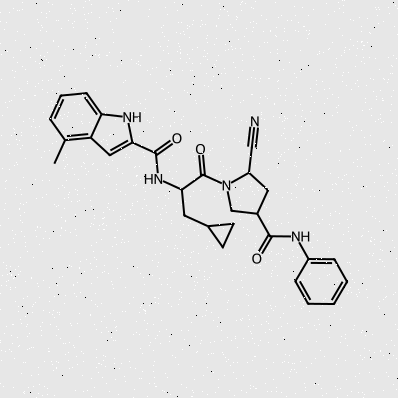 Cc1cccc2[nH]c(C(=O)NC(CC3CC3)C(=O)N3CC(C(=O)Nc4ccccc4)CC3C#N)cc12